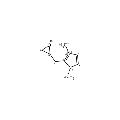 Cn1cc[n+](C)c1CC1CO1